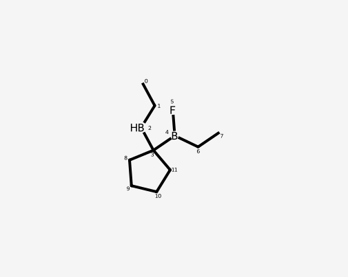 CCBC1(B(F)CC)CCCC1